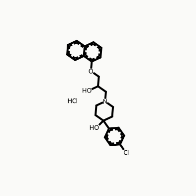 Cl.OC(COc1cccc2ccccc12)CN1CCC(O)(c2ccc(Cl)cc2)CC1